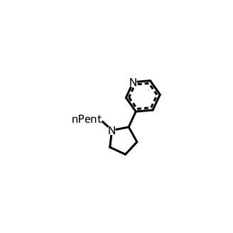 CCCCCN1CCCC1c1cccnc1